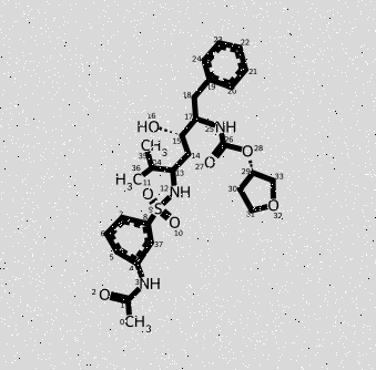 CC(=O)Nc1cccc(S(=O)(=O)NC(C[C@H](O)C(Cc2ccccc2)NC(=O)O[C@H]2CCOC2)C(C)C)c1